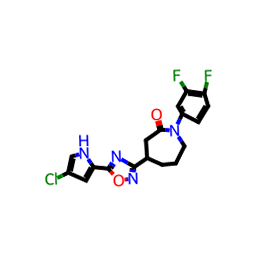 O=C1CC(c2noc(-c3cc(Cl)c[nH]3)n2)CCCN1c1ccc(F)c(F)c1